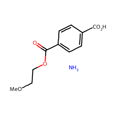 COCCOC(=O)c1ccc(C(=O)O)cc1.N